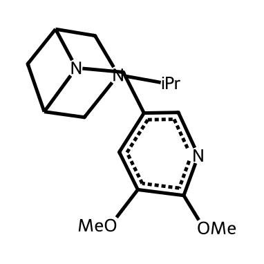 COc1cc(CN2C3CC2CN(C(C)C)C3)cnc1OC